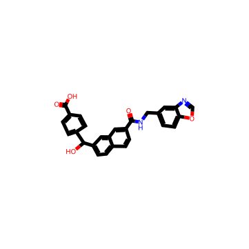 O=C(O)c1ccc(C(O)c2ccc3ccc(C(=O)NCc4ccc5ocnc5c4)cc3c2)cc1